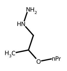 CCCOC(C)CNN